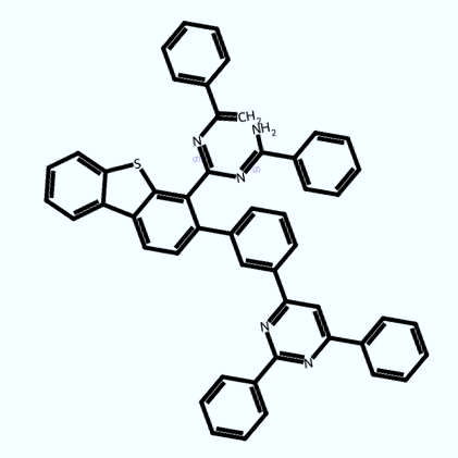 C=C(/N=C(\N=C(/N)c1ccccc1)c1c(-c2cccc(-c3cc(-c4ccccc4)nc(-c4ccccc4)n3)c2)ccc2c1sc1ccccc12)c1ccccc1